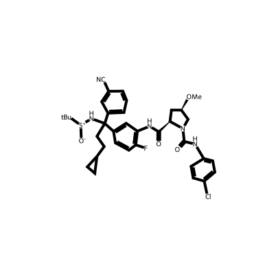 CO[C@@H]1C[C@H](C(=O)Nc2cc(C(CCC3CC3)(N[S+]([O-])C(C)(C)C)c3cccc(C#N)c3)ccc2F)N(C(=O)Nc2ccc(Cl)cc2)C1